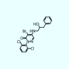 O=c1c(Br)c(NCC(O)Cc2ccccc2)cnn1-c1c(Cl)cccc1Cl